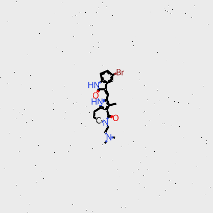 Cc1c(C=C2C(=O)Nc3ccc(Br)cc32)[nH]c2c1C(=O)N(CCN(C)C)CCC2